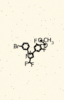 CS(=O)(=O)c1c(F)cc(-c2cc(C(F)F)nn2-c2cccc(Br)c2)cc1F